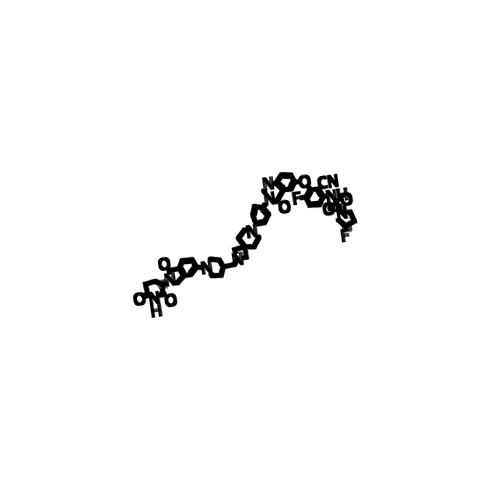 N#Cc1c(NS(=O)(=O)N2CC[C@@H](F)C2)ccc(F)c1Oc1ccc2ncn(-c3ccc(N4CCC5(CC4)CN(CC4CCN(c6ccc7c(c6)CN([C@@H]6CCC(=O)NC6=O)C7=O)CC4)C5)cc3)c(=O)c2c1